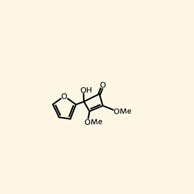 COC1=C(OC)C(O)(c2ccco2)C1=O